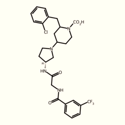 O=C(CNC(=O)c1cccc(C(F)(F)F)c1)N[C@@H]1CCN(C2CCN(C(=O)O)C(Cc3ccccc3Cl)C2)C1